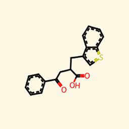 O=C(CC(Cc1csc2ccccc12)C(=O)O)c1ccccc1